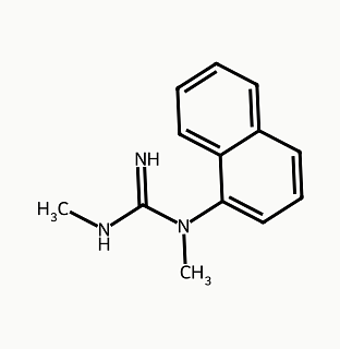 CNC(=N)N(C)c1cccc2ccccc12